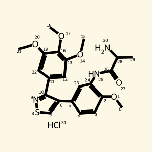 COc1ccc(-c2csnc2-c2cc(OC)c(OC)c(OC)c2)cc1NC(=O)C(C)N.Cl